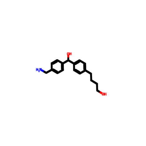 NCc1ccc(C(O)c2ccc(CCCCO)cc2)cc1